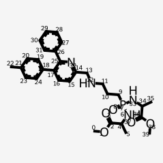 COC(=O)C(C)NP(=O)(CCCNCc1ccc(-c2ccc(C)cc2)c(-c2ccccc2)n1)NC(C)C(=O)OC